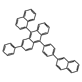 c1ccc(-c2ccc3c(-c4ccc(-c5ccc6ccccc6c5)cc4)c4ccccc4c(-c4cccc5ccccc45)c3c2)cc1